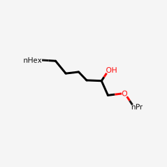 CCCCCCCCCCC(O)COCCC